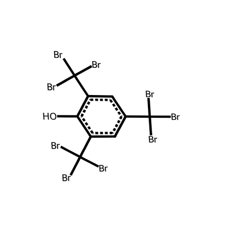 Oc1c(C(Br)(Br)Br)cc(C(Br)(Br)Br)cc1C(Br)(Br)Br